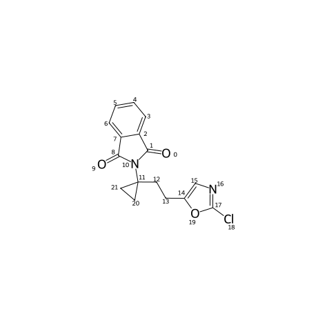 O=C1c2ccccc2C(=O)N1C1(CCc2cnc(Cl)o2)CC1